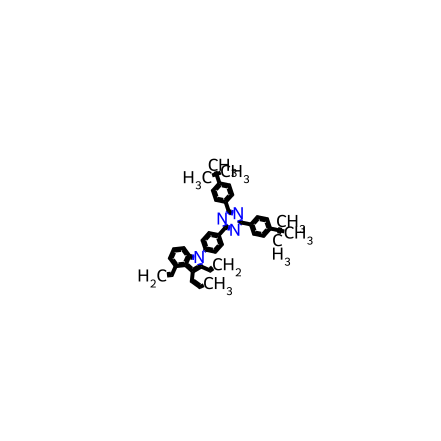 C=Cc1cccc2c1c(/C=C\C)c(C=C)n2-c1ccc(-c2nc(-c3ccc(C(C)(C)C)cc3)nc(-c3ccc(C(C)(C)C)cc3)n2)cc1